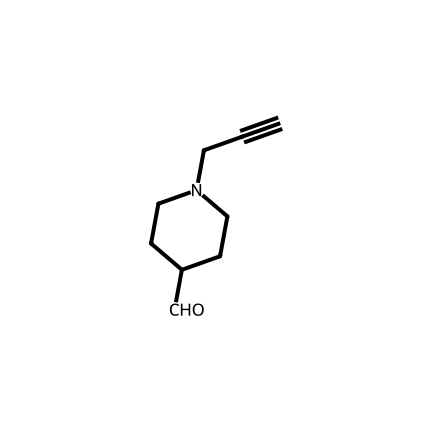 C#CCN1CCC(C=O)CC1